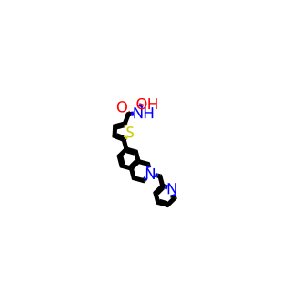 O=C(NO)c1ccc(-c2ccc3c(c2)CN(Cc2ccccn2)CC3)s1